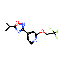 CC(C)c1nc(-c2ccnc(OCC(F)(F)F)c2)no1